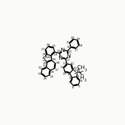 C[Si]1(C)c2ccccc2-c2ccc(-c3nc(-c4ccccc4)nc(-c4cccc5sc6c7ccccc7ccc6c45)n3)cc21